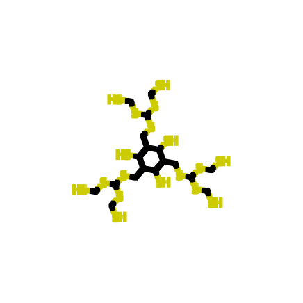 SCSC(SCS)SCC1C(S)C(CSC(SCS)SCS)C(S)C(CSC(SCS)SCS)C1S